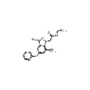 CCOC(=O)CC1OB(O)c2cc(Oc3ccccn3)cc(C)c21